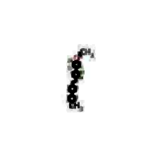 C/C=C/Oc1ccc(-c2ccc(CCC3CCC(C4CCC(C)CC4)CC3)c(F)c2F)c(F)c1F